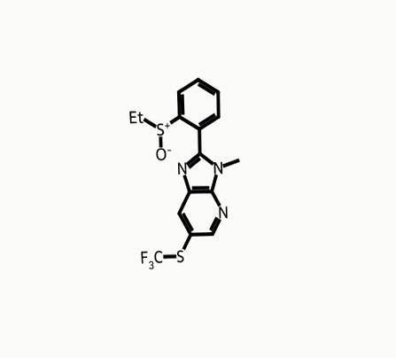 CC[S+]([O-])c1ccccc1-c1nc2cc(SC(F)(F)F)cnc2n1C